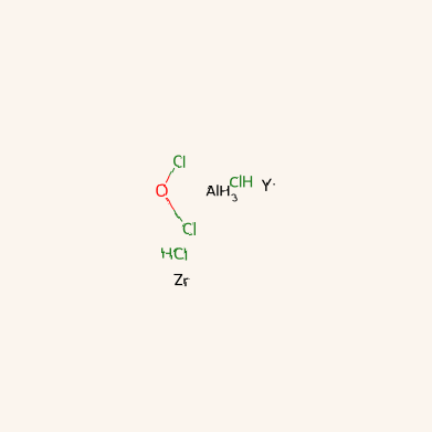 Cl.Cl.ClOCl.[AlH3].[Y].[Zr]